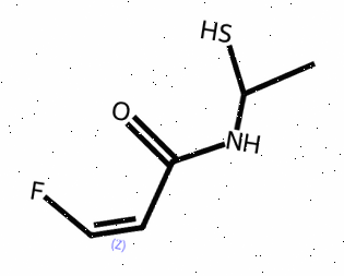 CC(S)NC(=O)/C=C\F